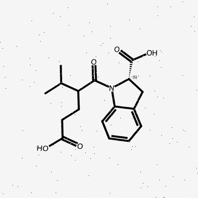 CC(C)C(CCC(=O)O)C(=O)N1c2ccccc2C[C@H]1C(=O)O